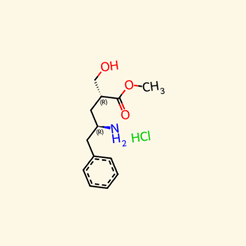 COC(=O)[C@@H](CO)C[C@@H](N)Cc1ccccc1.Cl